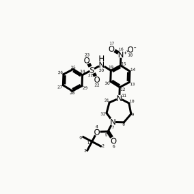 CC(C)(C)OC(=O)N1CCCN(c2ccc([N+](=O)[O-])c(NS(=O)(=O)c3ccccc3)c2)CC1